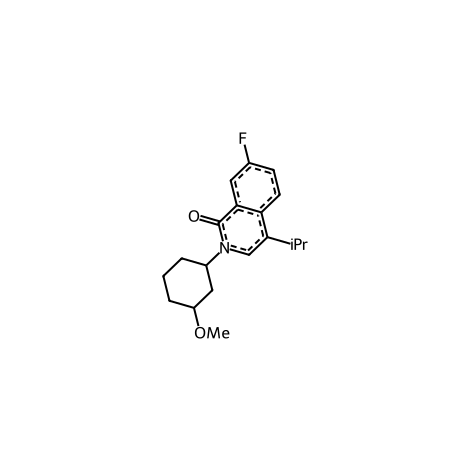 COC1CCCC(n2cc(C(C)C)c3ccc(F)cc3c2=O)C1